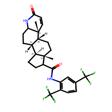 C[C@]12C=CC(=O)NC1CC[C@@H]1[C@H]2CC[C@]2(C)C(C(=O)Nc3cc(C(F)(F)F)ccc3C(F)(F)F)CC[C@@H]12